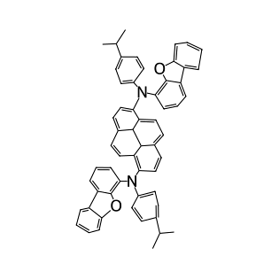 CC(C)c1ccc(N(C2=CC=C3C=CC4=C(N(c5ccc(C(C)C)cc5)c5cccc6c5oc5ccccc56)C=CC5=CC=C2C3C54)c2cccc3c2oc2ccccc23)cc1